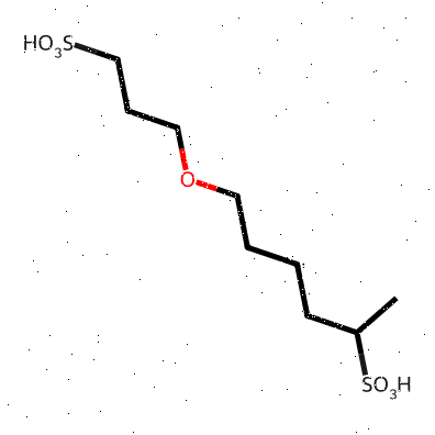 CC(C[CH]CCOCCCS(=O)(=O)O)S(=O)(=O)O